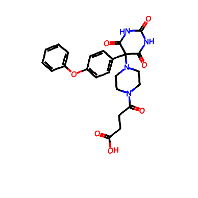 O=C(O)CCC(=O)N1CCN(C2(c3ccc(Oc4ccccc4)cc3)C(=O)NC(=O)NC2=O)CC1